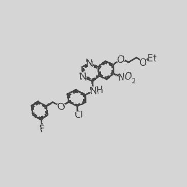 CCOCCOc1cc2ncnc(Nc3ccc(OCc4cccc(F)c4)c(Cl)c3)c2cc1[N+](=O)[O-]